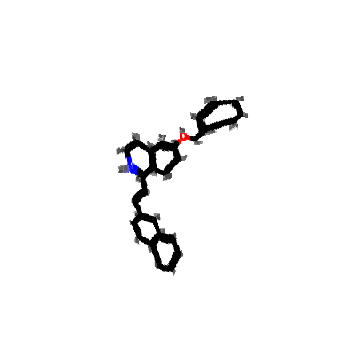 C(=Cc1ccc2ccccc2c1)C1=NCCc2cc(OCc3ccccc3)ccc21